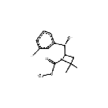 CC(C)(C)OC(=O)N1C([C@H](O)c2cccc(Cl)c2)CC1(C)C